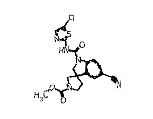 COC(=O)N1CCC2(C1)CN(C(=O)Nc1ncc(Cl)s1)c1ccc(C#N)cc12